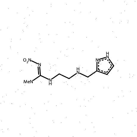 CNC(=N[N+](=O)[O-])NCCNCc1cc[nH]n1